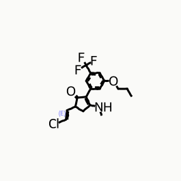 CCCOc1cc(C2=C(NC)CC(/C=C/Cl)C2=O)cc(C(F)(F)F)c1